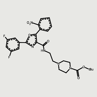 CC(C)(C)OC(=O)N1CCN(CCNC(=O)c2nc(-c3cc(F)cc(F)c3)oc2-c2ccccc2[N+](=O)[O-])CC1